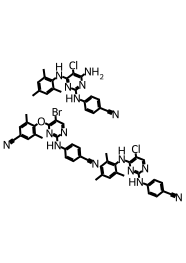 Cc1cc(C#N)cc(C)c1Oc1nc(Nc2ccc(C#N)cc2)ncc1Br.Cc1cc(C)c(Nc2nc(Nc3ccc(C#N)cc3)nc(N)c2Cl)c(C)c1.Cc1cc(C)c(Nc2nc(Nc3ccc(C#N)cc3)ncc2Cl)c(C)c1